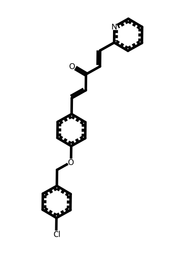 O=C(C=Cc1ccc(OCc2ccc(Cl)cc2)cc1)C=Cc1ccccn1